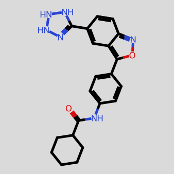 O=C(Nc1ccc(-c2onc3ccc(C4=NNNN4)cc23)cc1)C1CCCCC1